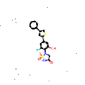 O=C1CN(c2c(O)cc(-c3cc(-c4ccccc4)cs3)cc2F)S(=O)(=O)N1